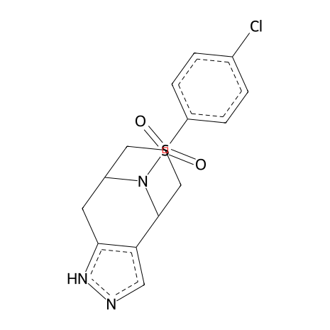 O=S(=O)(c1ccc(Cl)cc1)N1C2CCCC1c1cn[nH]c1C2